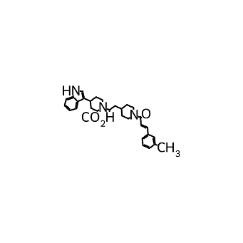 Cc1cccc(C=CC(=O)N2CCC(CC(C(=O)O)N3CCC(c4c[nH]c5ccccc45)CC3)CC2)c1